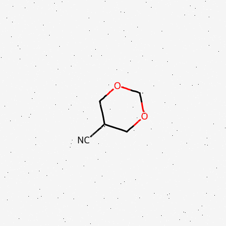 N#C[C]1CO[CH]OC1